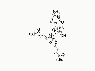 CC[C@]1(CP(=O)(OCCSC(=O)C(C)(C)C)OCCSC(=O)C(C)(C)C)O[C@@H](n2ccc(N)nc2=O)[C@H](F)[C@@H]1O